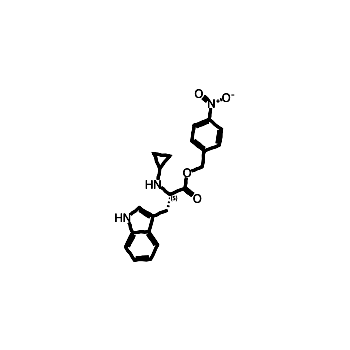 O=C(OCc1ccc([N+](=O)[O-])cc1)[C@H](Cc1c[nH]c2ccccc12)NC1CC1